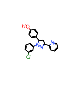 Oc1ccc(C2CC(c3ccccn3)=NN2c2cccc(Cl)c2)cc1